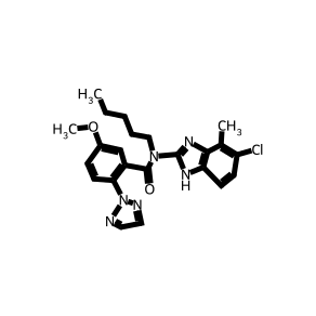 CCCCCN(C(=O)c1cc(OC)ccc1-n1nccn1)c1nc2c(C)c(Cl)ccc2[nH]1